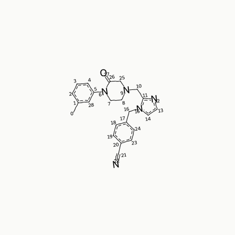 Cc1cccc(N2CCN(Cc3nccn3Cc3ccc(C#N)cc3)CC2=O)c1